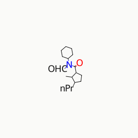 CCCC1CCC(C(=O)N(C=O)C2CCCCC2)C1C